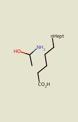 CC(N)O.CCCCCCCCCCCC(=O)O